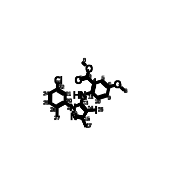 COC(=O)c1cc(OC)ccc1Nc1c(I)c(C)nn1-c1cc(Cl)ccc1C